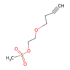 C#CCCOCCOS(C)(=O)=O